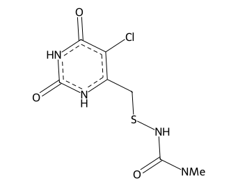 CNC(=O)NSCc1[nH]c(=O)[nH]c(=O)c1Cl